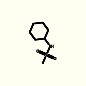 CS(=O)(=O)NC1CC[CH]CC1